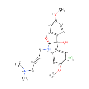 COc1ccc(C(O)(C(=O)NCC#CCN(C)C)c2ccc(OC)cc2)cc1.Cl